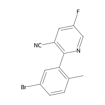 Cc1ccc(Br)cc1-c1ncc(F)cc1C#N